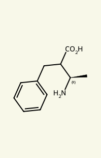 C[C@@H](N)C(Cc1ccccc1)C(=O)O